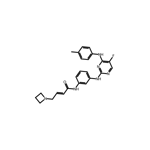 Cc1ccc(Nc2nc(Nc3cccc(NC(=O)/C=C/CN4CCC4)c3)ncc2F)cc1